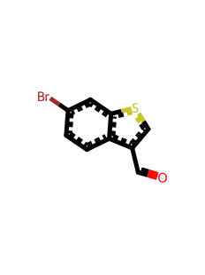 O=Cc1csc2cc(Br)ccc12